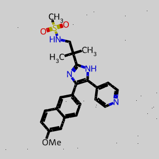 COc1ccc2cc(-c3nc(C(C)(C)CNS(C)(=O)=O)[nH]c3-c3ccncc3)ccc2c1